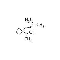 CC(C)=CCC1([C@@H](C)O)CCC1